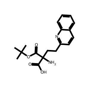 CC(C)(C)OC(=O)C(N)(CCc1ccc2ccccc2n1)C(=O)O